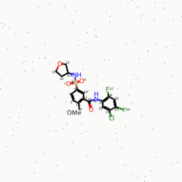 COc1ccc(S(=O)(=O)NC2CCOC2)cc1C(=O)Nc1cc(Cl)c(F)cc1F